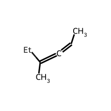 CC=C=C(C)CC